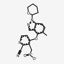 Cc1ccc2c(cnn2C2CCCCO2)c1Oc1ccnc(C#N)c1C[N+](=O)[O-]